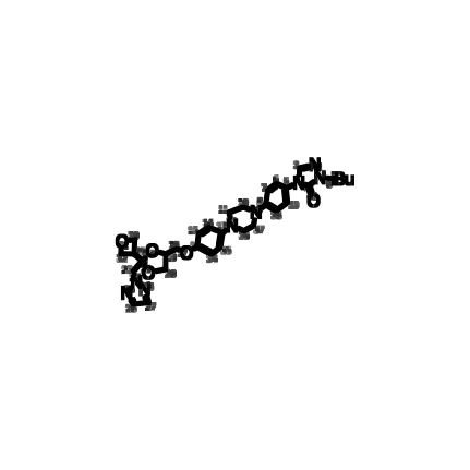 CCC(C)n1ncn(-c2ccc(N3CCN(c4ccc(OCC5COC(Cn6nccn6)(C6COC6)O5)cc4)CC3)cc2)c1=O